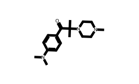 CN1CCN(C(C)(C)C(=O)c2ccc(N(C)C)cc2)CC1